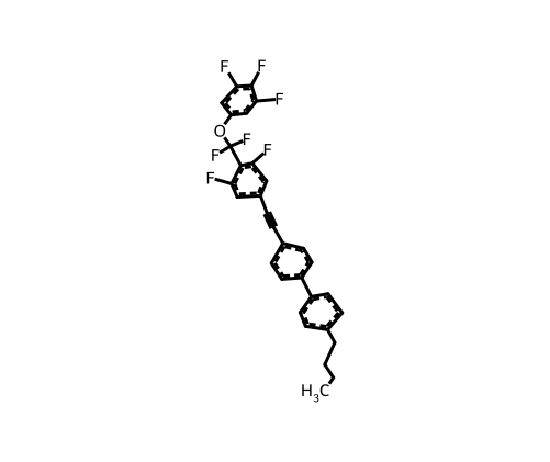 CCCCc1ccc(-c2ccc(C#Cc3cc(F)c(C(F)(F)Oc4cc(F)c(F)c(F)c4)c(F)c3)cc2)cc1